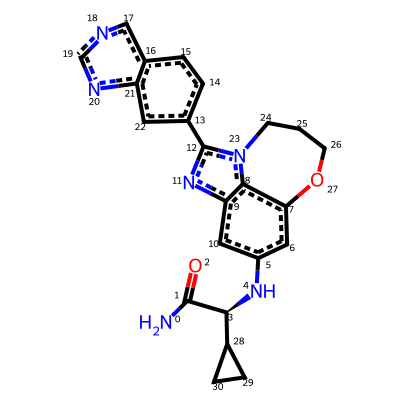 NC(=O)[C@@H](Nc1cc2c3c(c1)nc(-c1ccc4cncnc4c1)n3CCCO2)C1CC1